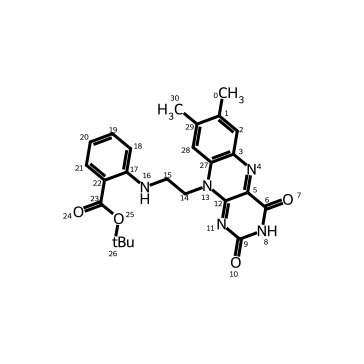 Cc1cc2nc3c(=O)[nH]c(=O)nc-3n(CCNc3ccccc3C(=O)OC(C)(C)C)c2cc1C